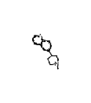 CN1CCC(c2ccc3ncccc3c2)CC1